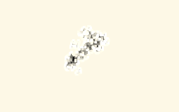 CN(Cc1ccccc1)c1c(N(C)Cc2ccc(-c3noc(C(F)(F)F)n3)cc2)c(=O)c1=O